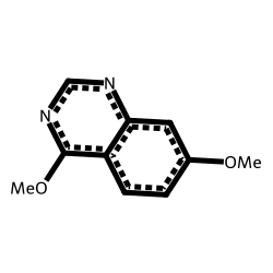 COc1ccc2c(OC)ncnc2c1